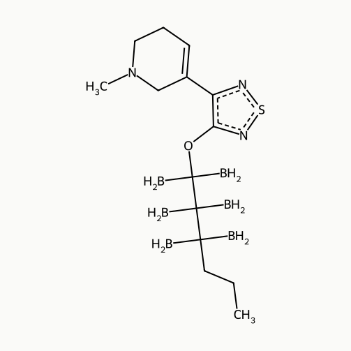 BC(B)(CCC)C(B)(B)C(B)(B)Oc1nsnc1C1=CCCN(C)C1